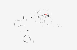 COC1C[C@]2(O)C3CC4C5(C6CC1[C@H](OC)[C@@]62O)[C@@H](OC)CC[C@@]4(OC(=O)c1ccccc1NS(=O)(=O)c1cccc(F)c1)[C@H](C)N35